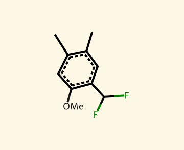 COc1cc(C)c(C)cc1C(F)F